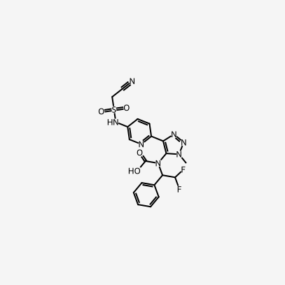 Cn1nnc(-c2ccc(NS(=O)(=O)CC#N)cn2)c1N(C(=O)O)C(c1ccccc1)C(F)F